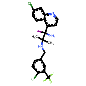 CC(C)(NCc1ccc(Cl)c(C(F)(F)F)c1)C(N)(I)c1ccnc2cc(Cl)ccc12